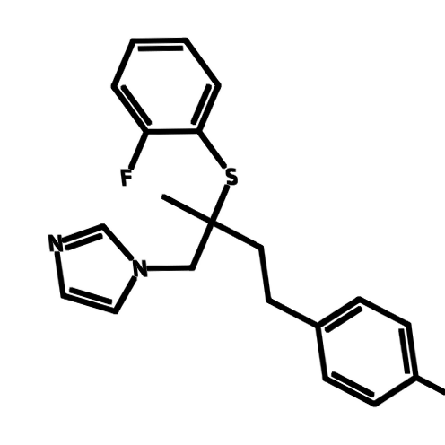 CC(CCc1ccc(Cl)cc1)(Cn1ccnc1)Sc1ccccc1F